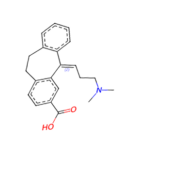 CN(C)CC/C=C1/c2ccccc2CCc2ccc(C(=O)O)cc21